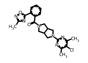 Cc1noc(-c2ccccc2C(=O)N2CC3CN(c4nc(C)c(Cl)c(C)n4)CC3C2)n1